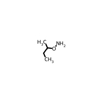 CC[C](C)ON